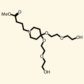 COC(=O)CCCN1CCC(OCCOCCO)(OCCOCCO)CC1